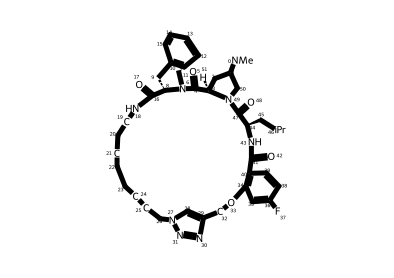 CNC1C[C@@H]2C(=O)N(C)[C@@H](Cc3ccccc3)C(=O)NCCCCCCCCn3cc(nn3)COc3cc(F)ccc3C(=O)N[C@H](CC(C)C)C(=O)N2C1